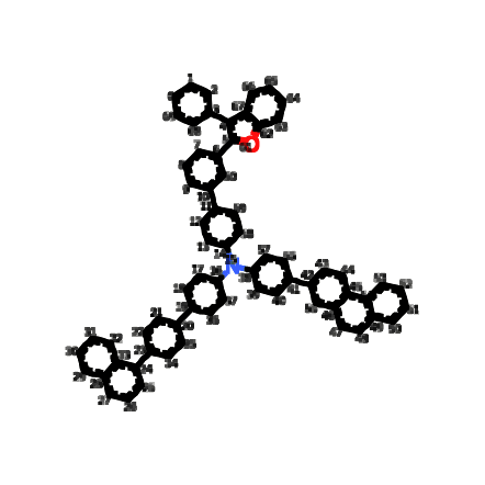 c1ccc(-c2c(-c3cccc(-c4ccc(N(c5ccc(-c6ccc(-c7cccc8ccccc78)cc6)cc5)c5ccc(-c6ccc7c(ccc8ccccc87)c6)cc5)cc4)c3)oc3ccccc23)cc1